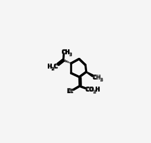 C=C(C)[C@@H]1CC[C@@H](C)/C(=C(/CC)C(=O)O)C1